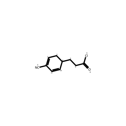 N#CC1=CCC(CCC(=O)Cl)C=C1